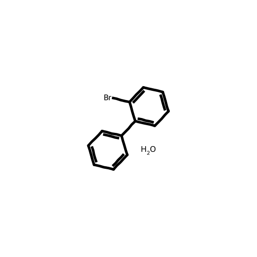 Brc1ccccc1-c1ccccc1.O